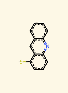 [S]c1cccc2nc3ccccc3cc12